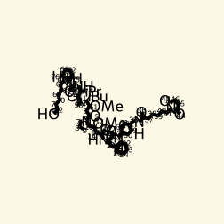 CC[C@H](C)[C@@H]([C@@H](CC(=O)N1CCC[C@H]1[C@H](OC)[C@@H](C)C(=O)NC(Cc1ccccc1)C(=O)Nc1ccc(CNC(=O)CCCCCN2C(=O)C=CC2=O)cc1)OC)N(C)C(=O)C(NC(=O)[C@@H]1[C@H]2CC[C@H](C2)N1CCCCCCO)C(C)C